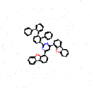 c1ccc(-c2ccccc2-c2cccc(-c3nc(-c4cccc5c4oc4ccccc45)cc(-c4cccc5c4oc4ccccc45)n3)c2-c2ccccc2)cc1